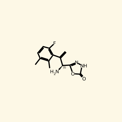 C=C(c1c(F)ccc(C)c1C)[C@H](N)c1n[nH]c(=O)o1